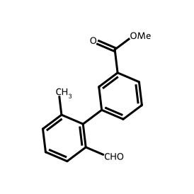 COC(=O)c1cccc(-c2c(C)cccc2C=O)c1